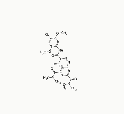 COc1cc(NC(=O)C(/N=N\c2cc(C(=O)N(C)C)cc(C(=O)N(C)C)c2)C(C)=O)c(OC)cc1Cl